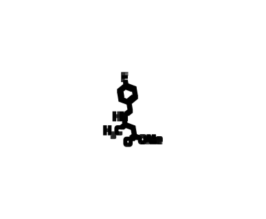 COC(=O)CC(C)NCc1ccc(F)cc1